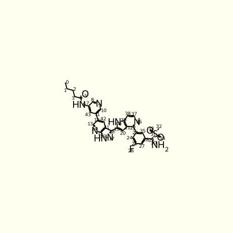 CCCCC(=O)Nc1cncc(-c2cnc3[nH]nc(-c4cc5c(-c6cc(F)cc(C(N)S(C)(=O)=O)c6)nccc5[nH]4)c3c2)c1